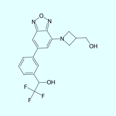 OCC1CN(c2cc(-c3cccc(C(O)C(F)(F)F)c3)cc3nonc23)C1